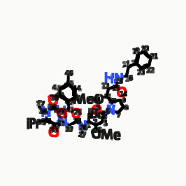 CCC(C)C(C(CC(=O)N1CCCC1C(CC(=O)NCCc1ccccc1)OC)OC)N(C)C(=O)CNC(=O)C(C(C)C)N(C)C(=O)OCc1ccc(C)cc1